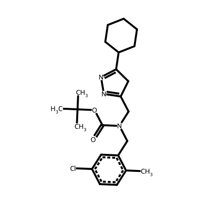 Cc1ccc(Cl)cc1CN(CC1=NN=C(C2CCCCC2)C1)C(=O)OC(C)(C)C